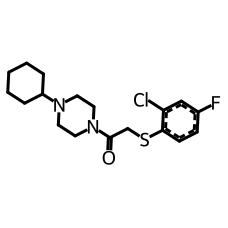 O=C(CSc1ccc(F)cc1Cl)N1CCN(C2CCCCC2)CC1